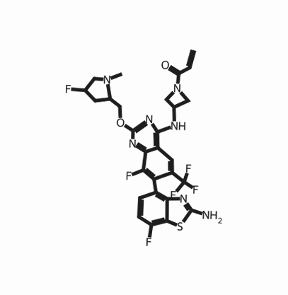 C=CC(=O)N1CC(Nc2nc(OCC3CC(F)CN3C)nc3c(F)c(-c4ccc(F)c5sc(N)nc45)c(C(F)(F)F)cc23)C1